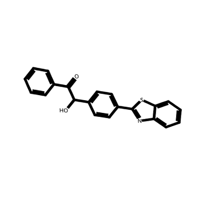 O=C(c1ccccc1)C(O)c1ccc(-c2nc3ccccc3s2)cc1